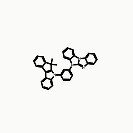 CC1(C)c2ccccc2-c2c1n(-c1cccc(-n3c4ccccc4n4c5ccccc5nc34)c1)c1ccccc21